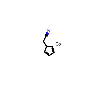 N#CCC1C=CC=C1.[Co]